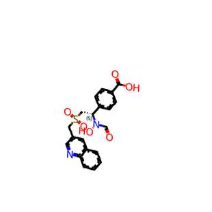 O=CN(O)[C@H](CS(=O)(=O)Cc1cnc2ccccc2c1)c1ccc(C(=O)O)cc1